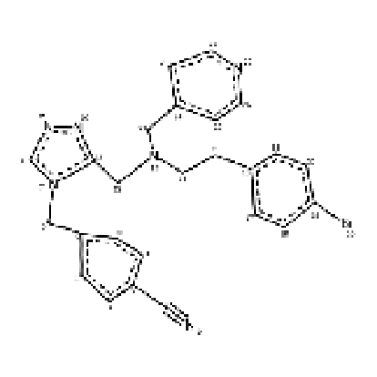 N#Cc1ccc(Cn2cnnc2CN(CCc2ccc(Br)cc2)Cc2ccncc2)cc1